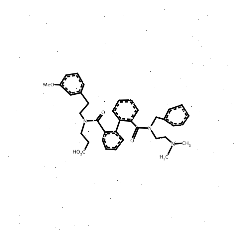 COc1cccc(CCN(CCC(=O)O)C(=O)c2ccccc2-c2ccccc2C(=O)N(CCN(C)C)Cc2ccccc2)c1